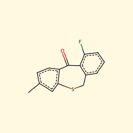 Cc1ccc2c(c1)SCc1cccc(F)c1C2=O